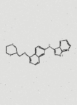 c1cnc2[nH]nc(Nc3ccc4c(OCC5COCCO5)nccc4c3)c2c1